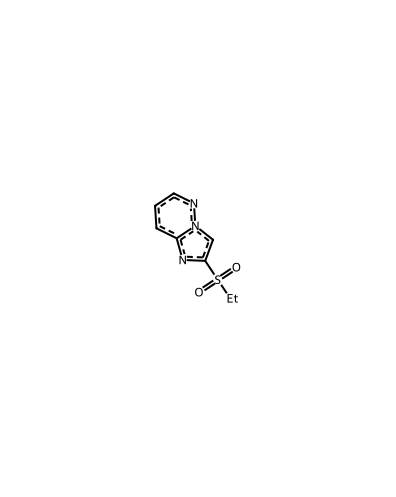 CCS(=O)(=O)c1cn2ncccc2n1